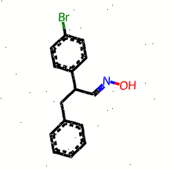 ON=CC(Cc1ccccc1)c1ccc(Br)cc1